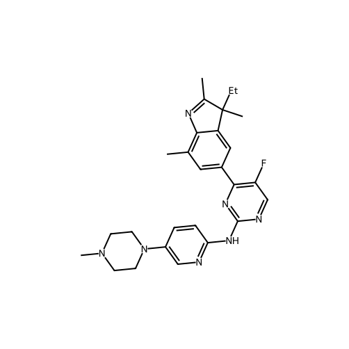 CCC1(C)C(C)=Nc2c(C)cc(-c3nc(Nc4ccc(N5CCN(C)CC5)cn4)ncc3F)cc21